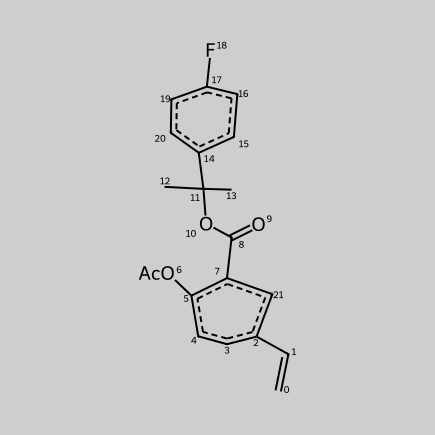 C=Cc1ccc(OC(C)=O)c(C(=O)OC(C)(C)c2ccc(F)cc2)c1